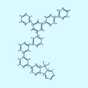 CC1(C)c2ccccc2-c2ccc(-c3cccc(-c4cccc(-c5cccc(-c6nc(-c7ccccc7)nc(-c7ccc(-c8ccncc8)cc7)n6)c5)c4)c3)cc21